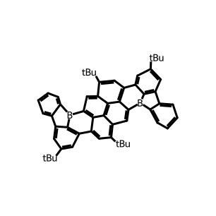 CC(C)(C)c1cc2c3c(c1)-c1cc(C(C)(C)C)c4cc5c6c(cc(C(C)(C)C)c7cc(c1c4c76)B3c1ccccc1-2)-c1cc(C(C)(C)C)cc2c1B5c1ccccc1-2